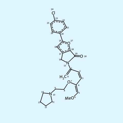 C=C(/C=C\C(=C\OC)OCCN1CCCC1)N1Cc2cc(-c3ccc(Cl)cc3)oc2C1=O